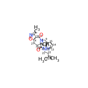 Cc1noc2c1C(=O)N(Cc1ccccc1)C(C)(C(=O)NCCC(C)C)CC2